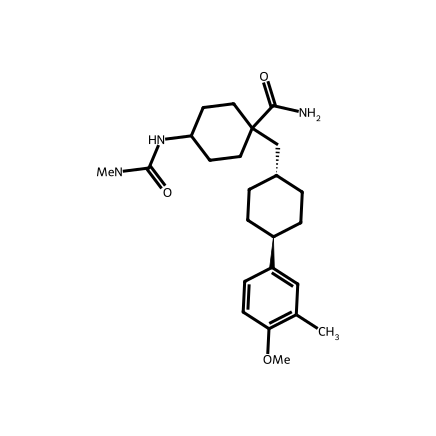 CNC(=O)NC1CCC(C[C@H]2CC[C@H](c3ccc(OC)c(C)c3)CC2)(C(N)=O)CC1